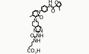 Cc1ccoc1C(=O)Nc1ccc(-n2ccc(C)c(N3CCc4nc(NC(=O)NCCCC(=O)O)ncc4C3)c2=O)cc1